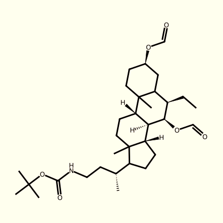 CC[C@@H]1C2C[C@H](OC=O)CCC2(C)[C@H]2CCC3(C)C([C@H](C)CCNC(=O)OC(C)(C)C)CC[C@H]3[C@@H]2[C@@H]1OC=O